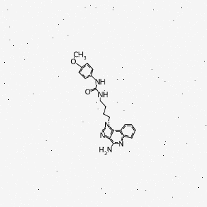 COc1ccc(NC(=O)NCCCCn2cnc3c(N)nc4ccccc4c32)cc1